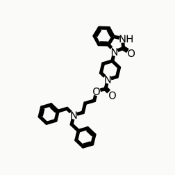 O=C(OCCCN(CC1=CC=CCC1)CC1C=CC=CC1)N1CCC(n2c(=O)[nH]c3ccccc32)CC1